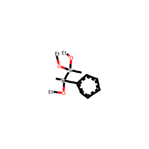 CCO[Si](C)(OCC)[Si](C)(OCC)c1ccccc1